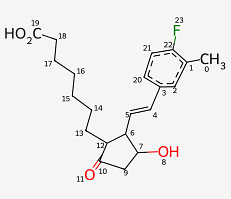 Cc1cc(C=CC2C(O)CC(=O)C2CCCCCCC(=O)O)ccc1F